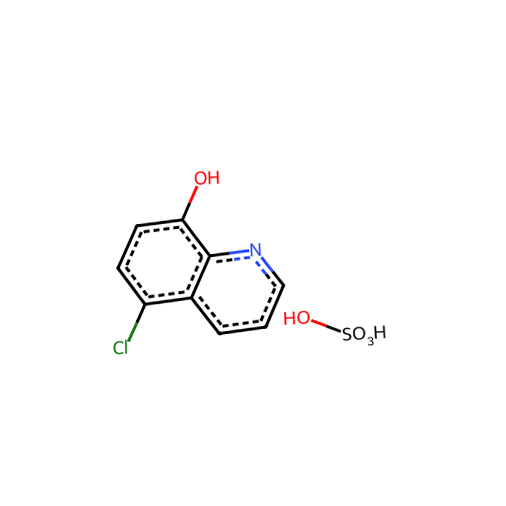 O=S(=O)(O)O.Oc1ccc(Cl)c2cccnc12